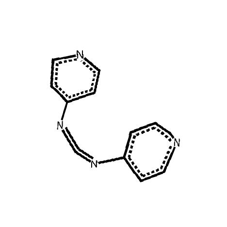 C(=Nc1ccncc1)=Nc1ccncc1